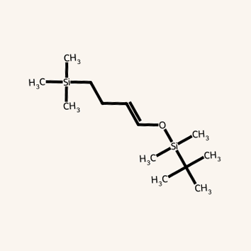 CC(C)(C)[Si](C)(C)OC=CCC[Si](C)(C)C